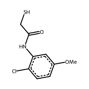 COc1ccc(Cl)c(NC(=O)CS)c1